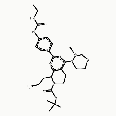 CCNC(=O)Nc1ccc(-c2nc3c(c(N4CCOC[C@@H]4C)n2)CCN(C(=O)OC(C)(C)C)C3CCN)cc1